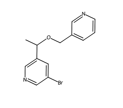 CC(OCc1cccnc1)c1cncc(Br)c1